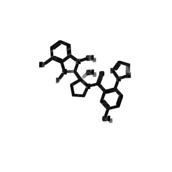 Cc1ccc(-n2nccn2)c(C(=O)N2CCC[C@@]2(C)C2N(C)c3cccc(Br)c3N2F)c1